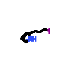 ICCCc1ccc[nH]1